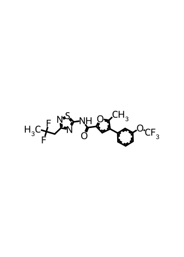 Cc1oc(C(=O)Nc2nc(CC(C)(F)F)ns2)cc1-c1cccc(OC(F)(F)F)c1